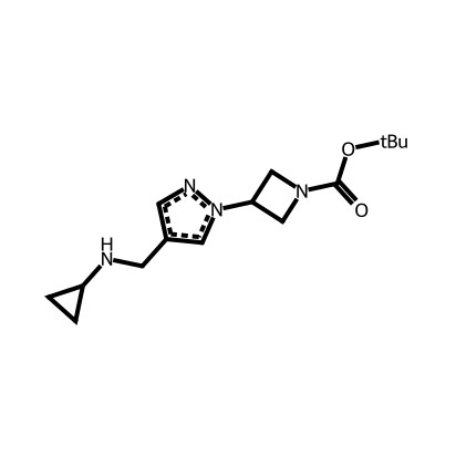 CC(C)(C)OC(=O)N1CC(n2cc(CNC3CC3)cn2)C1